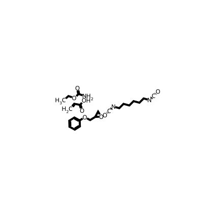 C=CC(=O)O.CCOC(N)=O.O=C=NCCCCCCN=C=O.c1ccc(OCC2CO2)cc1